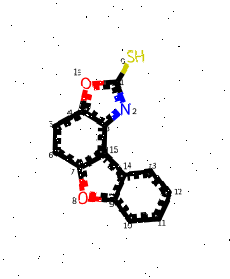 Sc1nc2c(ccc3oc4ccccc4c32)o1